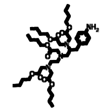 CCCCOC(=O)CN(CCN(CC(=O)OCCCC)CC(Cc1ccc(N)cc1)N(CC(=O)OCCCC)CC(=O)OCCCC)CC(=O)OCCCC